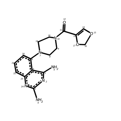 Nc1nc(N)c2c(N3CCN(C(=O)C4=COCO4)CC3)cccc2n1